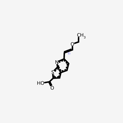 CCO/C=C/c1ccc2cc(C(=O)O)sc2n1